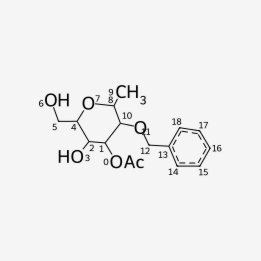 CC(=O)OC1C(O)C(CO)OC(C)C1OCc1ccccc1